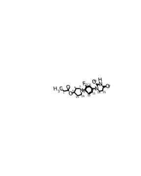 CCC(=O)OC1CCN(c2ccc(N3CCC(=O)NC3=O)cc2F)CC1